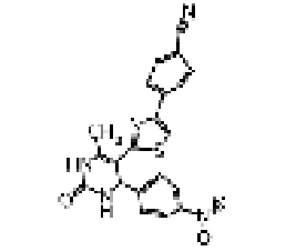 CC1=C(c2nc(-c3ccc(C#N)cc3)cs2)C(c2ccc([N+](=O)[O-])cc2)NC(=O)N1